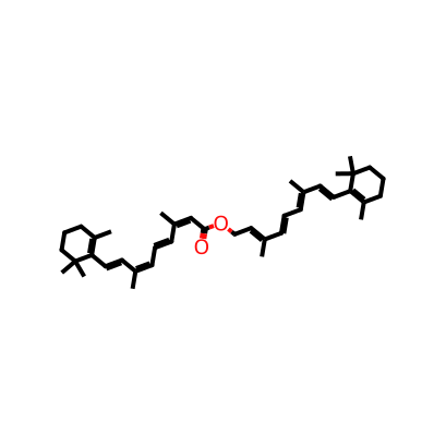 CC(C=CC1=C(C)CCCC1(C)C)=CC=CC(C)=CCOC(=O)C=C(C)C=CC=C(C)C=CC1=C(C)CCCC1(C)C